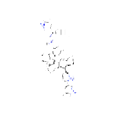 CC/C(=C\C=C(/C)c1cccnc1)c1ccc2c(c1)C(c1ccccc1)(c1ccccc1)c1cc(-c3ccc(-c4cccnc4)nc3)c3ccccc3c1-2